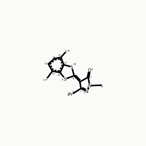 CC(C)C1=NN(C)C(=O)C1=C1Sc2c(I)ccc(I)c2S1